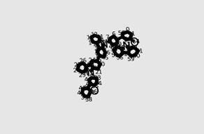 c1cc2c(c(-c3ccc(-n4c5ccccc5c5cc(-c6ccc7c(c6)c6ccccc6n7-c6ccc7oc8ccccc8c7c6)ccc54)cc3)c1)-n1c3ccccc3c3cccc(c31)O2